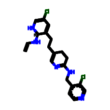 C=CN[C@H]1NC=C(Cl)C=C1CCC1=CN=C(NCc2ccncc2Cl)CC1